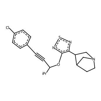 CC(C)C(C#Cc1ccc(Cl)cc1)Oc1nsnc1C1CN2CCC1C2